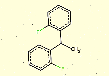 [CH2]C(c1ccccc1F)c1ccccc1F